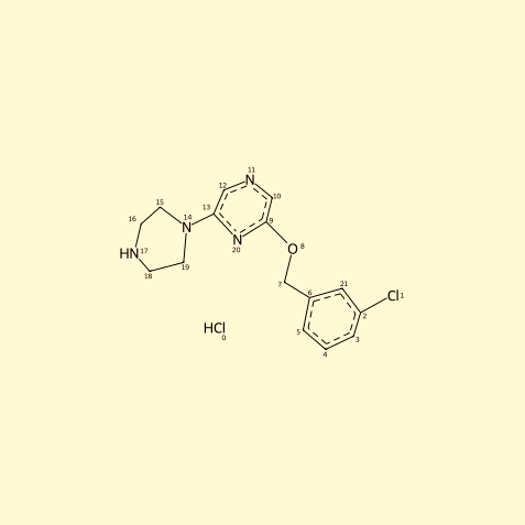 Cl.Clc1cccc(COc2cncc(N3CCNCC3)n2)c1